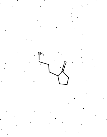 NCCCC1CCCC1=O